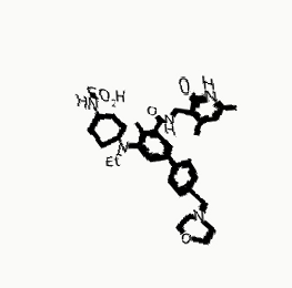 CCN(c1cc(-c2ccc(CN3CCOCC3)cc2)cc(C(=O)NCc2c(C)cc(C)[nH]c2=O)c1C)[C@H]1CC[C@H](NC(=O)O)CC1